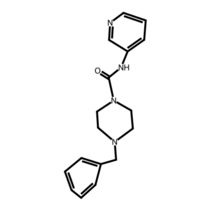 O=C(Nc1cccnc1)N1CCN(Cc2ccccc2)CC1